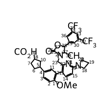 COc1ccc(C2CCC(C(=O)O)C2)cc1-c1ccc(N2CCC2)nc1CN1C(=O)OC(c2cc(C(F)(F)F)cc(C(F)(F)F)c2)C1C